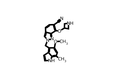 COc1cc(C)c2[nH]ccc2c1Cn1cc2ccc(C#N)c(OC3CNC3)c2n1